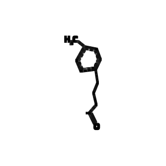 Cc1ccc(CCC[C]=O)cc1